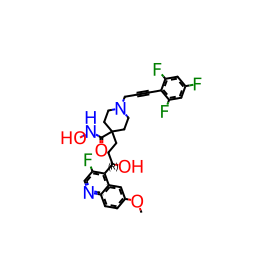 COc1ccc2ncc(F)c([C@H](O)CCC3(C(=O)NO)CCN(CC#Cc4c(F)cc(F)cc4F)CC3)c2c1